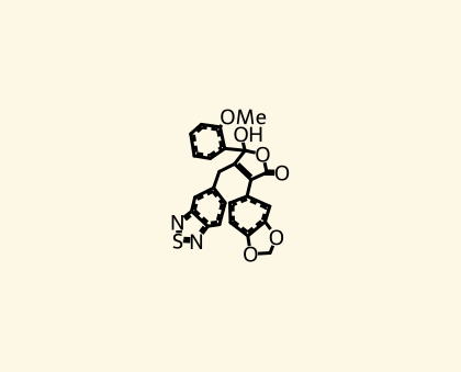 COc1ccccc1C1(O)OC(=O)C(c2ccc3c(c2)OCO3)=C1Cc1ccc2nsnc2c1